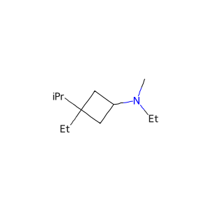 CCN(C)C1CC(CC)(C(C)C)C1